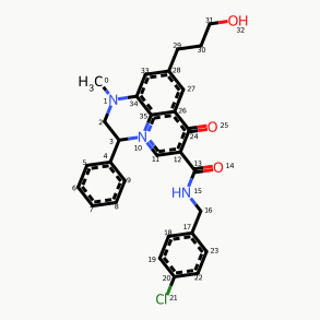 CN1CC(c2ccccc2)n2cc(C(=O)NCc3ccc(Cl)cc3)c(=O)c3cc(CCCO)cc1c32